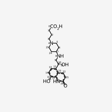 O=C(O)CCCN1CCC(NC[C@H](O)c2ccc(O)c3[nH]c(=O)ccc23)CC1